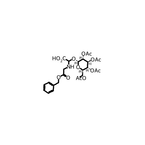 CC(=O)OC[C@H]1O[C@H](OC(NCC(=O)OCc2ccccc2)C(=O)O)[C@H](OC(C)=O)[C@@H](OC(C)=O)[C@@H]1OC(C)=O